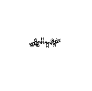 O=C1C2C3C=CC(O3)C2C(=O)N1CCNCCNCCN1C(=O)C2C3C=CC(O3)C2C1=O